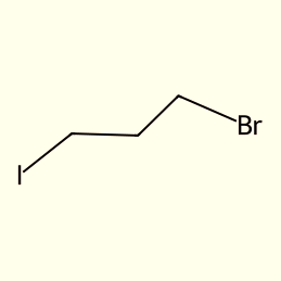 BrCCCI